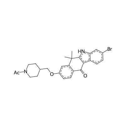 CC(=O)N1CCC(COc2ccc3c(c2)C(C)(C)c2[nH]c4cc(Br)ccc4c2C3=O)CC1